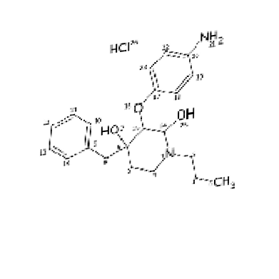 CCCN1CCC(O)(Cc2ccccc2)C(Oc2ccc(N)cc2)C1O.Cl